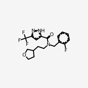 O=C(c1cc(C(F)(F)F)n[nH]1)N(CCC1CCOC1)Cc1ccccc1F